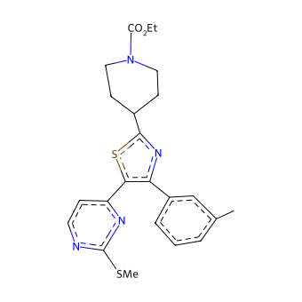 CCOC(=O)N1CCC(c2nc(-c3cccc(C)c3)c(-c3ccnc(SC)n3)s2)CC1